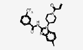 C=CC(=O)N1CCC(n2c(NC(=O)c3cccc(C(F)(F)F)c3)nc3cc(C)ccc32)CC1